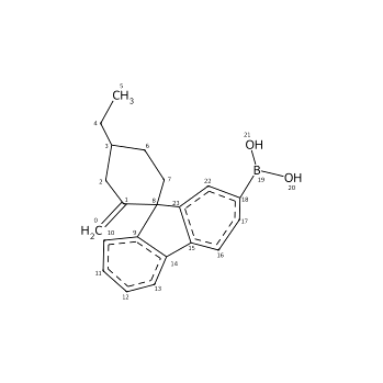 C=C1CC(CC)CCC12c1ccccc1-c1ccc(B(O)O)cc12